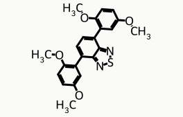 COc1ccc(OC)c(-c2ccc(-c3cc(OC)ccc3OC)c3nsnc23)c1